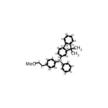 COCCc1ccc(N(c2ccccc2)c2ccc3c(c2)C(C)(C)c2ccccc2-3)cc1